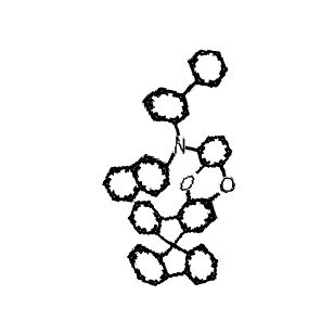 c1ccc(-c2cccc(N(c3ccc4ccccc4c3)c3cccc4c3Oc3c(ccc5c3-c3ccccc3C53c5ccccc5-c5ccccc53)O4)c2)cc1